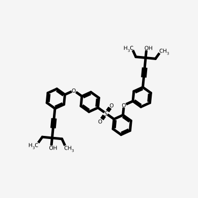 CCC(O)(C#Cc1cccc(Oc2ccc(S(=O)(=O)c3ccccc3Oc3cccc(C#CC(O)(CC)CC)c3)cc2)c1)CC